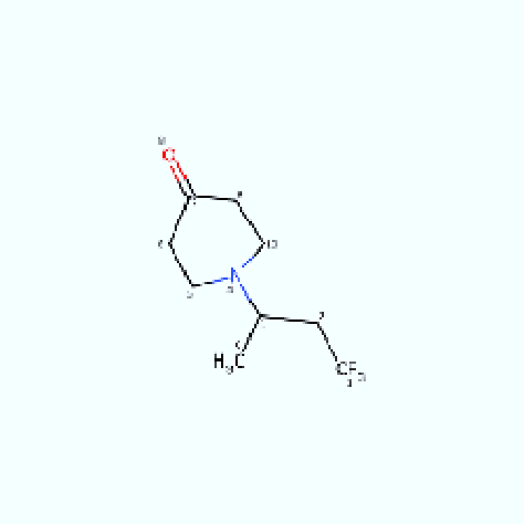 CC(CC(F)(F)F)N1CCC(=O)CC1